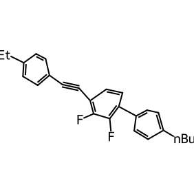 CCCCc1ccc(-c2ccc(C#Cc3ccc(CC)cc3)c(F)c2F)cc1